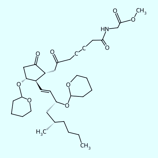 CCCC[C@H](C)C[C@H](/C=C/[C@H]1[C@H](OC2CCCCO2)CC(=O)[C@@H]1CC(=O)CCCCC(=O)NCC(=O)OC)OC1CCCCO1